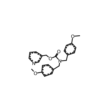 COc1ccc(CN(Cc2ccc(OC)cc2)C(=O)OCc2cccnc2)cc1